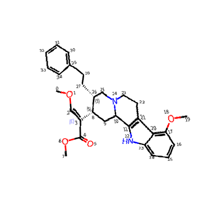 CO/C=C(/C(=O)OC)[C@H]1CC2c3[nH]c4cccc(OC)c4c3CCN2C[C@H]1CCc1ccccc1